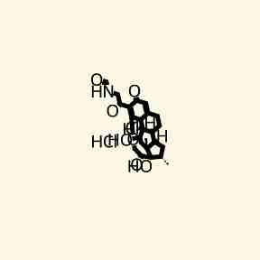 C[C@H]1C[C@H]2[C@@H]3CCC4=CC(=O)C(C(=O)CNC=O)=C5OCC(=O)[C@]1(O)[C@]2(C)C[C@@H](O)C3(Cl)[C@]45C.Cl